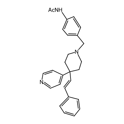 CC(=O)Nc1ccc(CN2CCC(C=Cc3ccccc3)(c3ccncc3)CC2)cc1